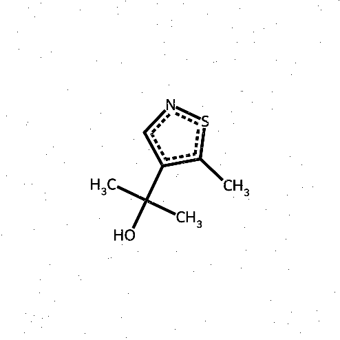 Cc1sncc1C(C)(C)O